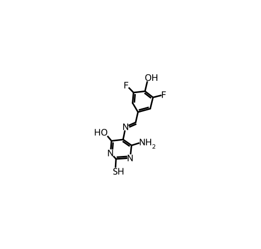 Nc1nc(S)nc(O)c1N=Cc1cc(F)c(O)c(F)c1